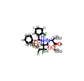 CCC(C)C(NC(=O)C(NC(=O)c1ccccc1F)(C(=O)O)C(C)(F)C(C)SSc1ccccc1)C(=O)OC(C)(C)C